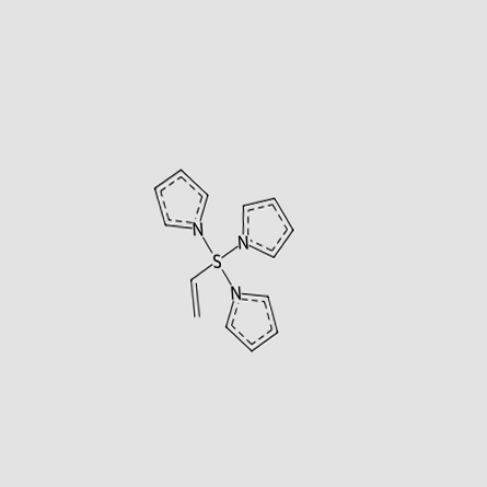 C=CS(n1cccc1)(n1cccc1)n1cccc1